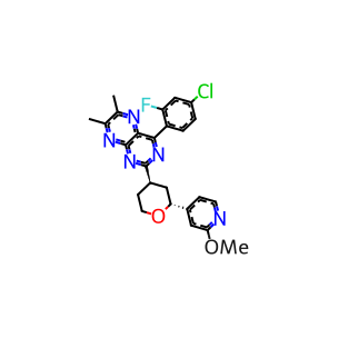 COc1cc([C@H]2C[C@H](c3nc(-c4ccc(Cl)cc4F)c4nc(C)c(C)nc4n3)CCO2)ccn1